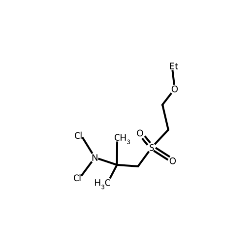 CCOCCS(=O)(=O)CC(C)(C)N(Cl)Cl